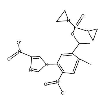 CC(OP(=O)(N1CC1)N1CC1)c1cc(-n2cnc([N+](=O)[O-])c2)c([N+](=O)[O-])cc1F